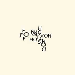 OCC1OC(Sc2cc(Cl)ccn2)[C@@H](O)C(n2cc(-c3cc(F)c(F)c(F)c3)nn2)C1O